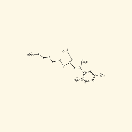 CCCCCCCCCCCCCCCCC(CC=O)CC(C(=O)O)c1cc(C)ccc1C